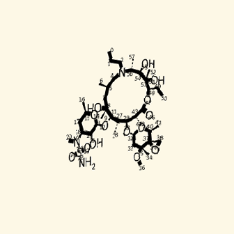 CCCN1C[C@H](C)C[C@@](C)(O)[C@H](O[C@@H]2O[C@H](C)C[C@H](N(C)S(N)(=O)=O)[C@H]2O)[C@@H](C)[C@H](O[C@H]2C[C@@](C)(OC)[C@]3(CO3)[C@H](C)O2)[C@@H](C)C(=O)O[C@H](CC)[C@@](C)(O)[C@H](O)[C@H]1C